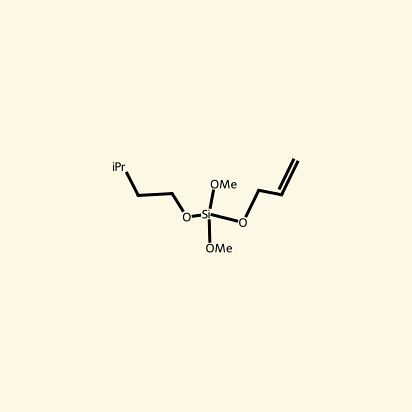 C=CCO[Si](OC)(OC)OCCC(C)C